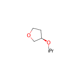 CC(C)O[C@@H]1CCOC1